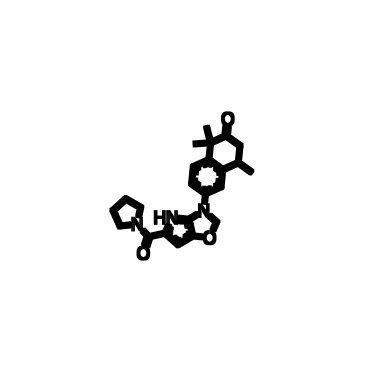 CC1CC(=O)C(C)(C)c2ccc(N3COc4cc(C(=O)N5CCCC5)[nH]c43)cc21